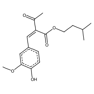 COc1cc(C=C(C(C)=O)C(=O)OCCC(C)C)ccc1O